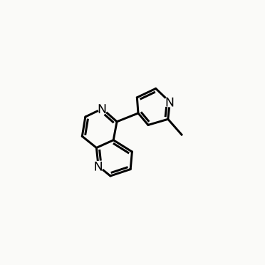 Cc1cc(-c2nccc3ncccc23)ccn1